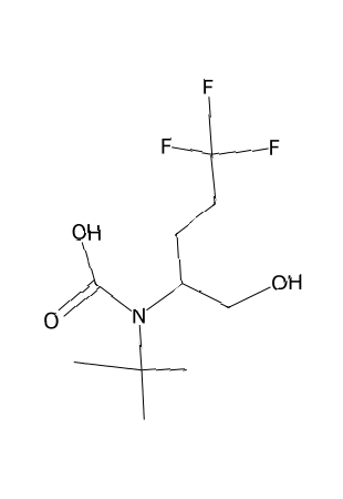 CC(C)(C)N(C(=O)O)C(CO)CCC(F)(F)F